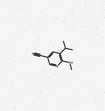 CNc1ncc(C#N)cc1C(C)C